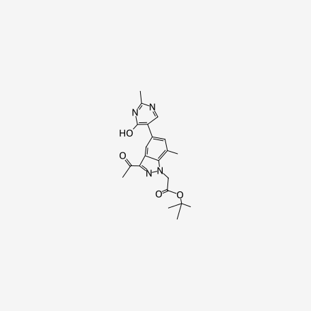 CC(=O)c1nn(CC(=O)OC(C)(C)C)c2c(C)cc(-c3cnc(C)nc3O)cc12